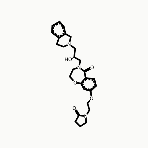 O=C1CCCN1CCOc1ccc2c(c1)OCCN(C[C@H](O)CN1CCc3ccccc3C1)C2=O